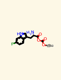 CC(C)(C)OC(=O)OC(=O)[C@@H](N)Cc1c[nH]c2cc(F)ccc12